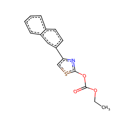 CCOC(=O)Oc1nc(-c2ccc3ccccc3c2)cs1